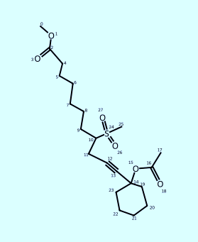 COC(=O)CCCCCCC(CC#CC1(OC(C)=O)CCCCC1)S(C)(=O)=O